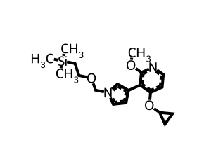 COc1nccc(OC2CC2)c1-c1ccn(COCC[Si](C)(C)C)c1